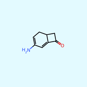 NC1=CCC2CC(=O)C2=C1